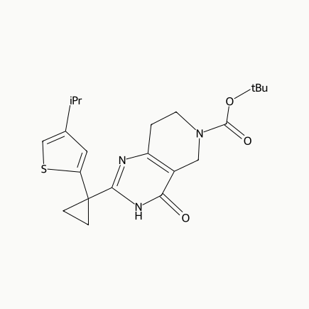 CC(C)c1csc(C2(c3nc4c(c(=O)[nH]3)CN(C(=O)OC(C)(C)C)CC4)CC2)c1